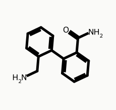 NCc1ccccc1-c1ccccc1C(N)=O